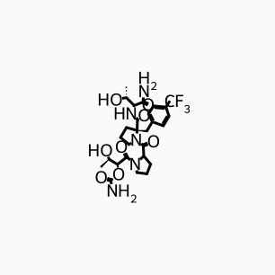 C[C@@H](O)[C@H](NC(=O)[C@@]1(Cc2ccc(C(F)(F)F)cc2)CCCN1C(=O)C1CCCN1C(=O)[C@@H](OC(N)=O)[C@@H](C)O)C(N)=O